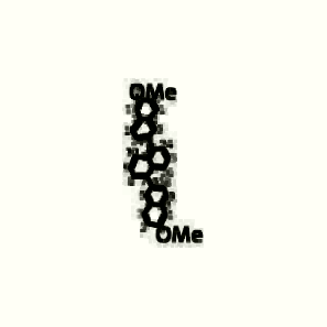 COc1ccc2cc(-c3cccc4c(-c5ccc6cc(OC)ccc6c5)cccc34)ccc2c1